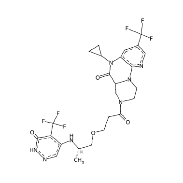 C[C@@H](COCCC(=O)N1CCN2c3ncc(C(F)(F)F)cc3N(C3CC3)C(=O)C2C1)Nc1cn[nH]c(=O)c1C(F)(F)F